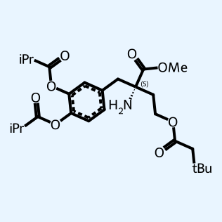 COC(=O)[C@@](N)(CCOC(=O)CC(C)(C)C)Cc1ccc(OC(=O)C(C)C)c(OC(=O)C(C)C)c1